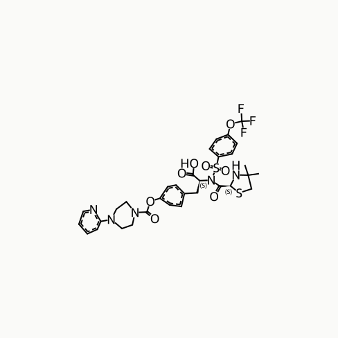 CC1(C)CS[C@@H](C(=O)N([C@@H](Cc2ccc(OC(=O)N3CCN(c4ccccn4)CC3)cc2)C(=O)O)S(=O)(=O)c2ccc(OC(F)(F)F)cc2)N1